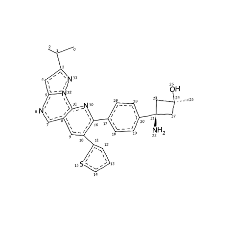 CC(C)c1cc2ncc3cc(-c4cccs4)c(-c4ccc([C@]5(N)C[C@@](C)(O)C5)cc4)nc3n2n1